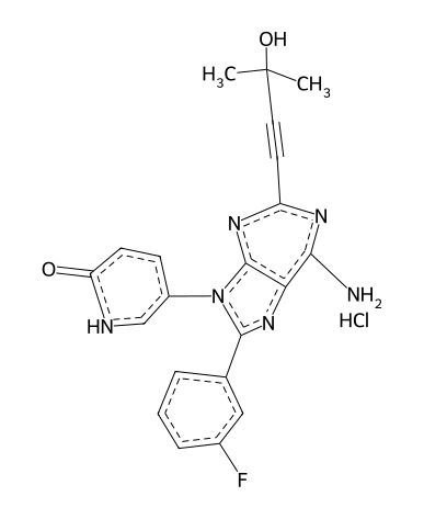 CC(C)(O)C#Cc1nc(N)c2nc(-c3cccc(F)c3)n(-c3ccc(=O)[nH]c3)c2n1.Cl